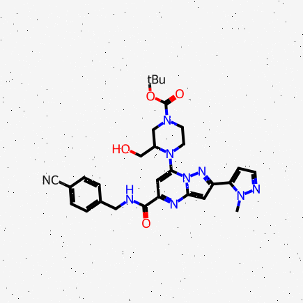 Cn1nccc1-c1cc2nc(C(=O)NCc3ccc(C#N)cc3)cc(N3CCN(C(=O)OC(C)(C)C)CC3CO)n2n1